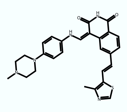 Cc1ncsc1C=Cc1ccc2c(c1)C(=CNc1ccc(N3CCN(C)CC3)cc1)C(=O)NC2=O